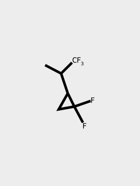 CC(C1CC1(F)F)C(F)(F)F